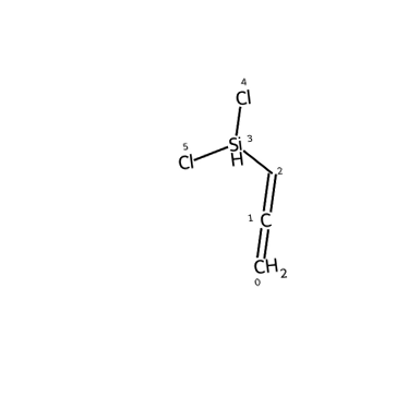 C=C=C[SiH](Cl)Cl